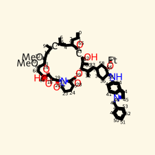 C=CCC1/C=C(\C)CC(C)CC(OC)C2OC(O)(C(=O)C(=O)N3CCCCC3C(=O)OC(C(C)=CC3CCC(Nc4ccc5c(ccn5Cc5ccccc5)c4)C(OCC)C3)C(C)C(O)CC1=O)C(C)CC2OC